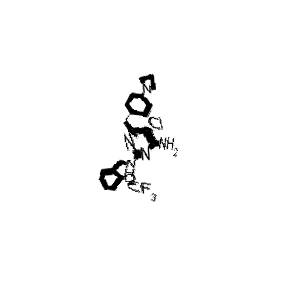 Nc1nc(NCc2ccccc2OC(F)(F)F)nc(C[C@H]2CC[C@H](N3CCC3)CC2)c1Cl